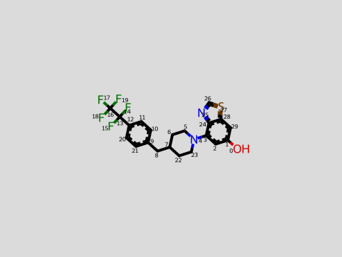 Oc1cc(N2CCC(Cc3ccc(C(F)(F)C(F)(F)F)cc3)CC2)c2ncsc2c1